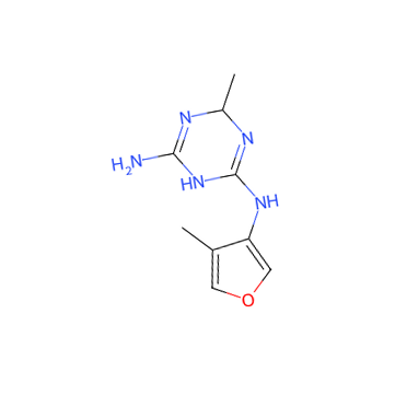 Cc1cocc1NC1=NC(C)N=C(N)N1